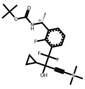 C[C@@H](NC(=O)OC(C)(C)C)c1cccc(C(F)(F)C(O)(C#C[Si](C)(C)C)C2CC2)c1F